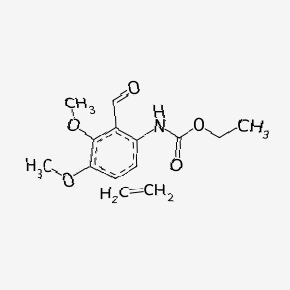 C=C.CCOC(=O)Nc1ccc(OC)c(OC)c1C=O